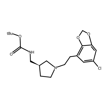 CC(C)(C)OC(=O)NC[C@@H]1CCN(CCc2cc(Cl)cc3c2OCO3)C1